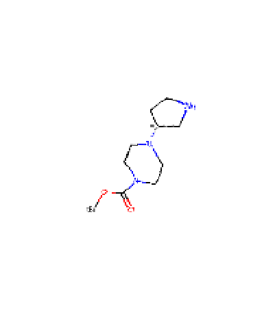 CC(C)(C)OC(=O)N1CCN([C@@H]2CCNC2)CC1